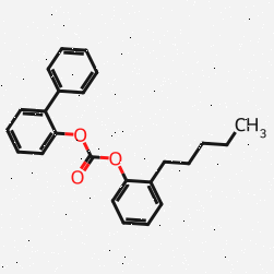 CCCCCc1ccccc1OC(=O)Oc1ccccc1-c1ccccc1